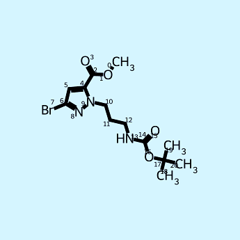 COC(=O)c1cc(Br)nn1CCCNC(=O)OC(C)(C)C